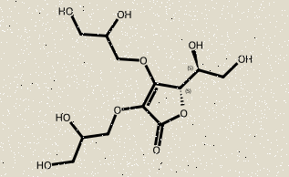 O=C1O[C@@H]([C@@H](O)CO)C(OCC(O)CO)=C1OCC(O)CO